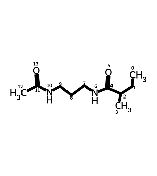 CCC(C)C(=O)NCCCNC(C)=O